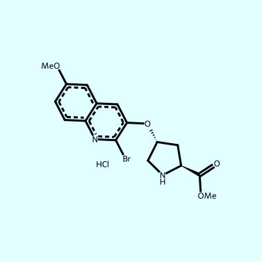 COC(=O)[C@@H]1C[C@@H](Oc2cc3cc(OC)ccc3nc2Br)CN1.Cl